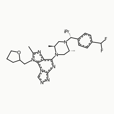 Cc1nc2c(N3C[C@@H](C)N([C@@H](c4ccc(C(F)F)cc4)C(C)C)C[C@@H]3C)nc3nncn3c2n1CC1CCCO1